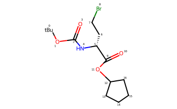 CC(C)(C)OC(=O)N[C@H](CCBr)C(=O)OC1CCCC1